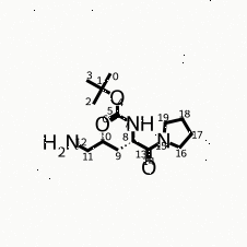 CC(C)(C)OC(=O)N[C@@H](CCCN)C(=O)N1CCCC1